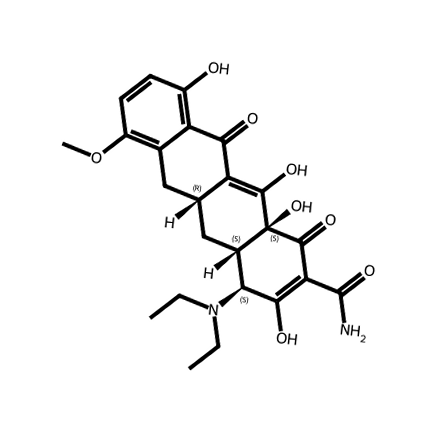 CCN(CC)[C@@H]1C(O)=C(C(N)=O)C(=O)[C@@]2(O)C(O)=C3C(=O)c4c(O)ccc(OC)c4C[C@H]3C[C@@H]12